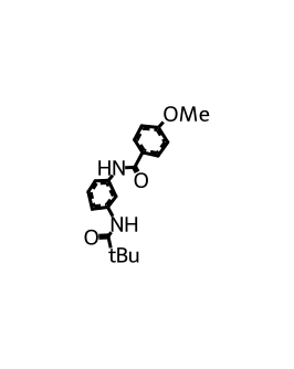 COc1ccc(C(=O)Nc2cccc(NC(=O)C(C)(C)C)c2)cc1